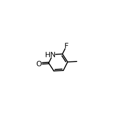 Cc1ccc(=O)[nH]c1F